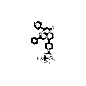 CC(C)(C)OC(=O)N1CCC(C2CCn3c(nc(-c4ccncc4)cc3=O)N2CC(=O)c2ccccc2)CC1